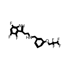 Fc1cc(F)c2[nH]cc(CCNCc3cccc(OCC(F)(F)C(F)F)c3)c2c1F